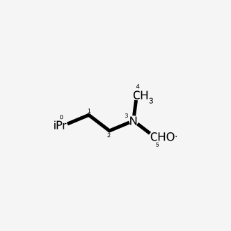 CC(C)CCN(C)[C]=O